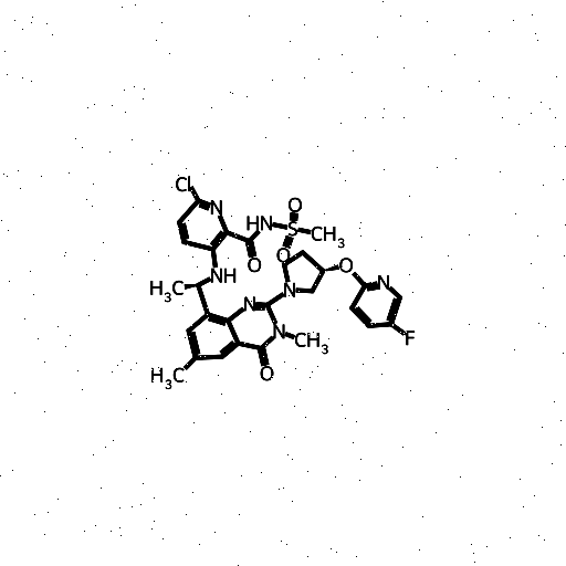 Cc1cc([C@@H](C)Nc2ccc(Cl)nc2C(=O)NS(C)(=O)=O)c2nc(N3CC[C@@H](Oc4ccc(F)cn4)C3)n(C)c(=O)c2c1